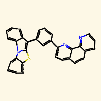 c1cc(-c2ccc3ccc4cccnc4c3n2)cc(-c2c3ccccc3n3c2sc2ccccc23)c1